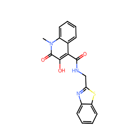 Cn1c(=O)c(O)c(C(=O)NCc2nc3ccccc3s2)c2ccccc21